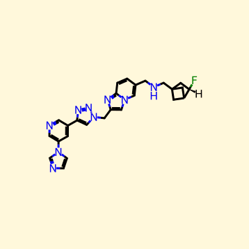 F[C@H]1CC2(CNCc3ccc4nc(Cn5cc(-c6cncc(-n7ccnc7)c6)nn5)cn4c3)CC1C2